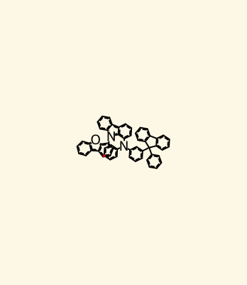 c1ccc(N(c2cccc(C3(c4ccccc4)c4ccccc4-c4ccccc43)c2)c2cccc3c4ccccc4n(-c4cccc5c4oc4ccccc45)c23)cc1